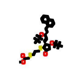 COC(=O)CSCCCS[C@H]1C(=O)C[C@@H](O[Si](C)(C)C(C)(C)C)[C@@H]1C=C[C@H](CCc1cccc2ccccc12)O[Si](C)(C)C(C)(C)C